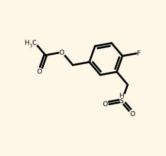 CC(=O)OCc1ccc(F)c(C[SH](=O)=O)c1